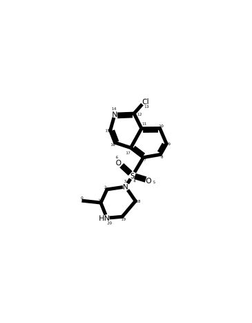 CC1CN(S(=O)(=O)c2cccc3c(Cl)nccc23)CCN1